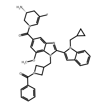 COc1cc(C(=O)N2C=C(F)C[C@@H](N)C2)cc2nc(-c3cc4ccccc4n3CC3CC3)n(CC3CN(C(=O)c4ccccc4)C3)c12